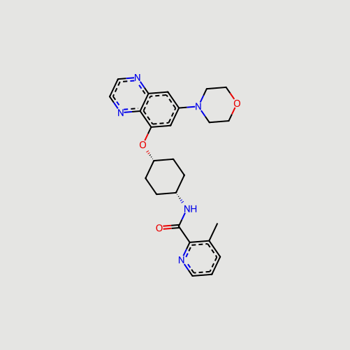 Cc1cccnc1C(=O)N[C@H]1CC[C@@H](Oc2cc(N3CCOCC3)cc3nccnc23)CC1